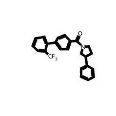 O=C(c1ccc(-c2ccccc2C(F)(F)F)cc1)N1CCC(c2ccccc2)C1